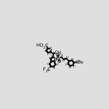 C=C(c1ccc(C(=O)O)s1)c1cc2cc(C(F)(F)F)ccc2n1S(=O)(=O)CC=Cc1cccc(C(C)(C)C)c1